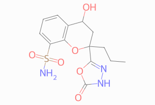 CCCC1(c2n[nH]c(=O)o2)CC(O)c2cccc(S(N)(=O)=O)c2O1